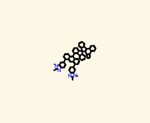 Cc1nc2ccc(-c3cccc4c(-c5cccc6c5-c5ccccc5C65c6ccccc6-c6c5c5ccccc5c5ccccc65)c5cccc(-c6ccc7nc(C)n(C)c7c6)c5cc34)cc2n1C